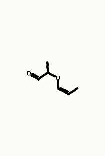 C/C=C\OC(C)[C]=O